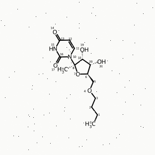 CCCCOC[C@H]1O[C@@](C)(n2ccc(=O)[nH]c2=O)[C@H](O)[C@@H]1O